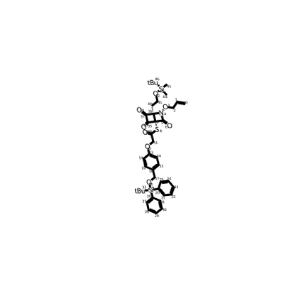 C=CCON1C(=O)[C@@]2(SC(=O)COc3ccc(CO[Si](c4ccccc4)(c4ccccc4)C(C)(C)C)cc3)C(=O)C(=O)[C@@]12CCO[Si](C)(C)C(C)(C)C